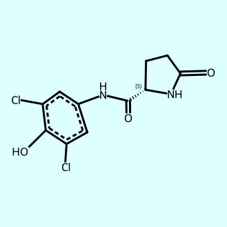 O=C1CC[C@@H](C(=O)Nc2cc(Cl)c(O)c(Cl)c2)N1